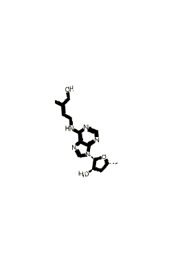 C/C(=C/CNc1ncnc2c1ncn2[C@@H]1O[C@H](C)C[C@H]1O)CO